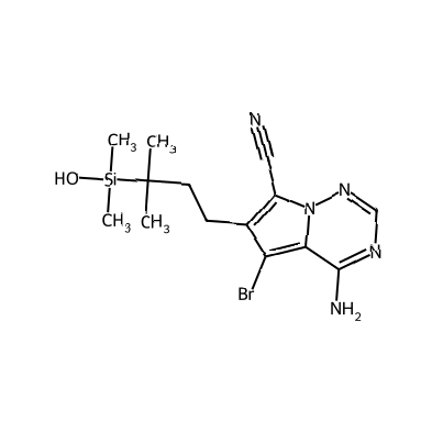 CC(C)(CCc1c(Br)c2c(N)ncnn2c1C#N)[Si](C)(C)O